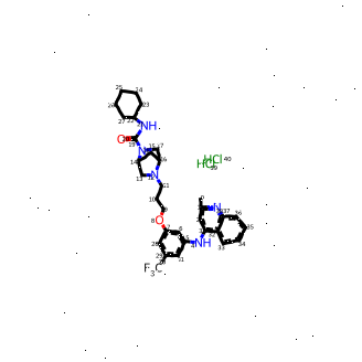 Cc1cc(Nc2cc(OCCCN3CC4CC3CN4C(=O)NC3CCCCC3)cc(C(F)(F)F)c2)c2ccccc2n1.Cl.Cl